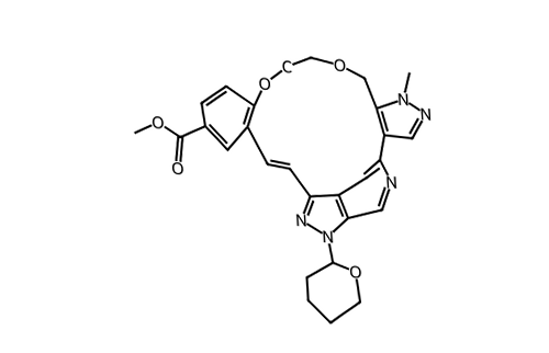 COC(=O)c1ccc2c(c1)/C=C/c1nn(C3CCCCO3)c3cnc(cc13)-c1cnn(C)c1COCCO2